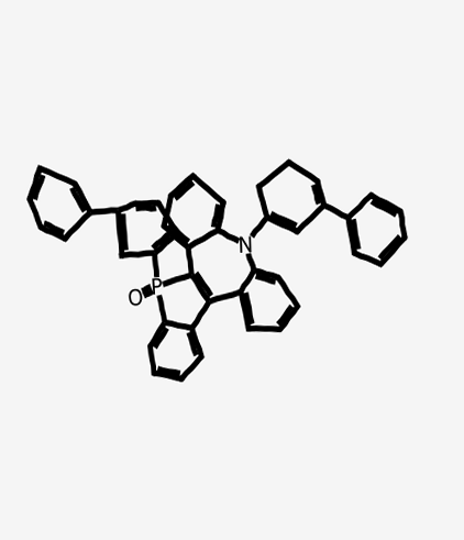 O=P1(c2cccc(-c3ccccc3)c2)C2=C(c3ccccc3N(C3=CC(c4ccccc4)=CCC3)c3ccccc32)c2ccccc21